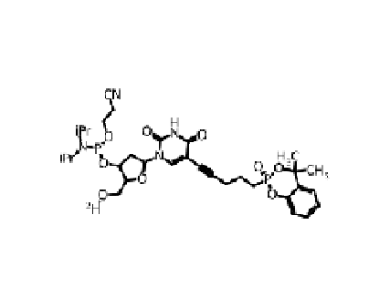 [2H]OCC1OC(n2cc(C#CCCCP3(=O)Oc4ccccc4C(C)(C)O3)c(=O)[nH]c2=O)CC1OP(OCCC#N)N(C(C)C)C(C)C